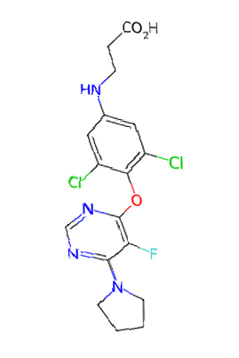 O=C(O)CCNc1cc(Cl)c(Oc2ncnc(N3CCCC3)c2F)c(Cl)c1